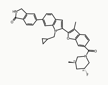 Cc1c(-c2cc3ccc(-c4ccc5c(c4)CNC5=O)cc3n2CC2CC2)oc2cc(C(=O)N3C[C@H](C)C[C@@H](F)C3)ccc12